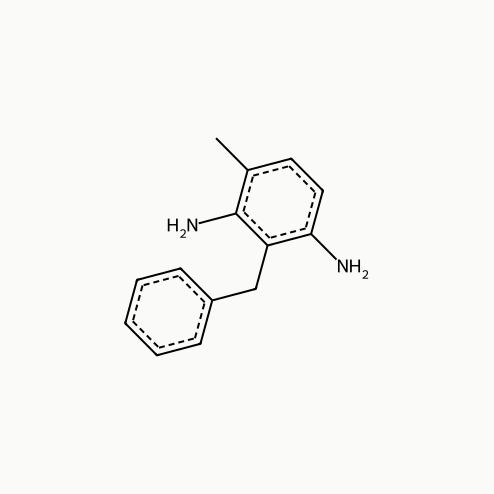 Cc1ccc(N)c(Cc2ccccc2)c1N